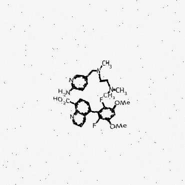 CN(C)CCN(C)Cc1ccc(N)nc1.COc1cc(OC)c(F)c(-c2ccc(C(=O)O)c3ncccc23)c1F